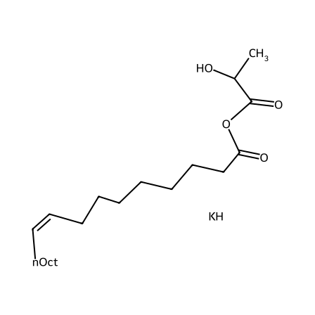 CCCCCCCC/C=C\CCCCCCCC(=O)OC(=O)C(C)O.[KH]